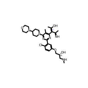 CNC[C@@H](O)COc1ccc(Cl)c(-c2nc(/C(C(C)=N)=C(\C)O)c(C)c(N3CCC(N4CCOCC4)CC3)n2)c1